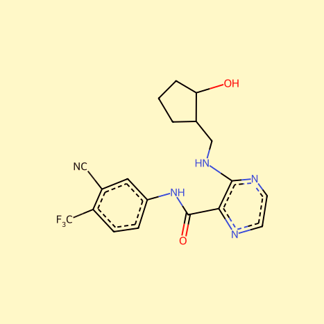 N#Cc1cc(NC(=O)c2nccnc2NCC2CCCC2O)ccc1C(F)(F)F